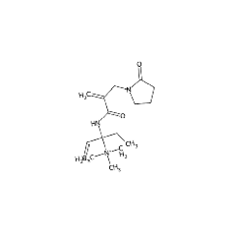 C=CC(CC)(NC(=O)C(=C)CN1CCCC1=O)[N+](C)(C)C